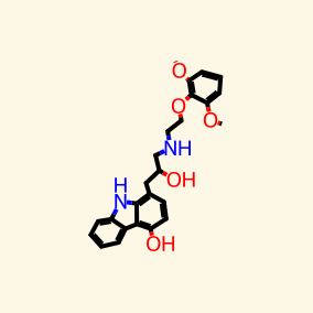 COc1cccc(OC)c1OCCNCC(O)Cc1ccc(O)c2c1[nH]c1ccccc12